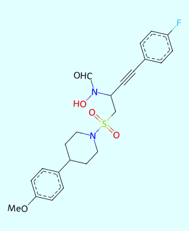 COc1ccc(C2CCN(S(=O)(=O)CC(C#Cc3ccc(F)cc3)N(O)C=O)CC2)cc1